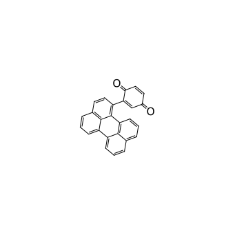 O=C1C=CC(=O)C(c2ccc3cccc4c5cccc6cccc(c2c34)c65)=C1